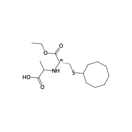 CCOC(=O)[C@H](CSC1CCCCCCC1)NC(C)C(=O)O